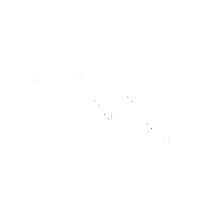 CN1CCN(CC2COc3c(Cl)cccc3N2N)CC1